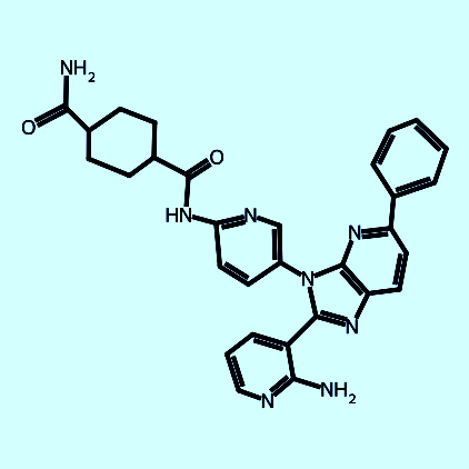 NC(=O)C1CCC(C(=O)Nc2ccc(-n3c(-c4cccnc4N)nc4ccc(-c5ccccc5)nc43)cn2)CC1